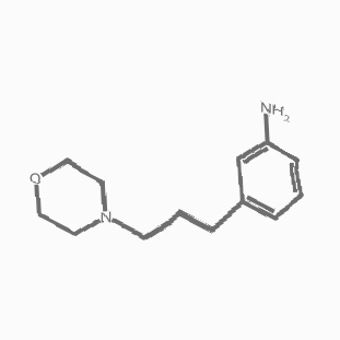 Nc1cccc(CCCN2CCOCC2)c1